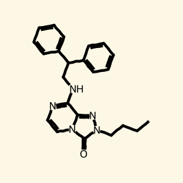 CCCCn1nc2c(NCC(c3ccccc3)c3ccccc3)nccn2c1=O